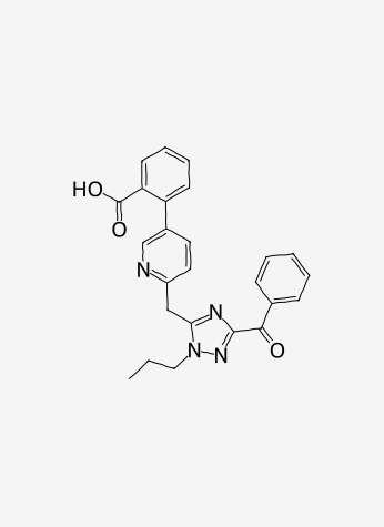 CCCn1nc(C(=O)c2ccccc2)nc1Cc1ccc(-c2ccccc2C(=O)O)cn1